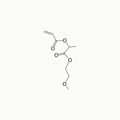 C=CC(=O)OC(C)C(=O)OCCOC